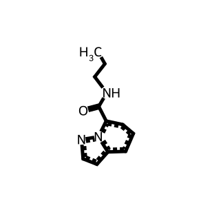 CCCNC(=O)c1cccc2ccnn12